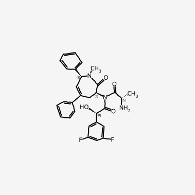 C[C@H](N)C(=O)N(C(=O)[C@H](O)c1cc(F)cc(F)c1)[C@H]1CC(c2ccccc2)=C[C@@H](c2ccccc2)N(C)C1=O